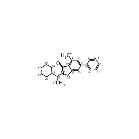 Cc1cc(-c2cccnc2)cc2c1C(=O)N(C(C)C1CCCCC1)C2